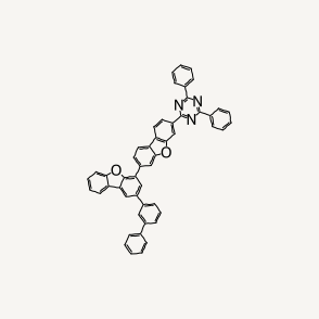 c1ccc(-c2cccc(-c3cc(-c4ccc5c(c4)oc4cc(-c6nc(-c7ccccc7)nc(-c7ccccc7)n6)ccc45)c4oc5ccccc5c4c3)c2)cc1